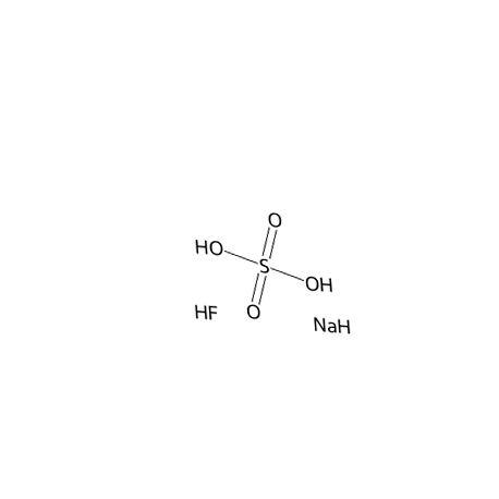 F.O=S(=O)(O)O.[NaH]